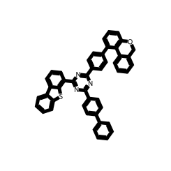 c1ccc(-c2ccc(-c3nc(-c4ccc(-c5cccc6c5-c5ccccc5CO6)cc4)nc(-c4cccc5c4sc4ccccc45)n3)cc2)cc1